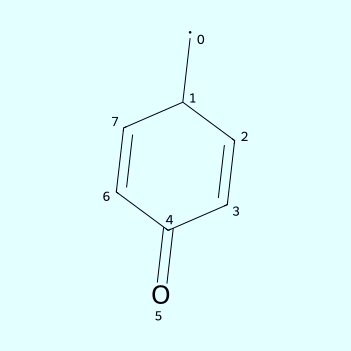 [CH2]C1C=CC(=O)C=C1